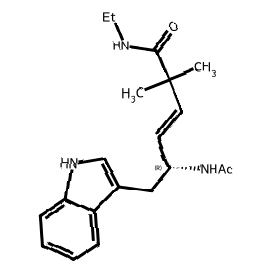 CCNC(=O)C(C)(C)C=C[C@@H](Cc1c[nH]c2ccccc12)NC(C)=O